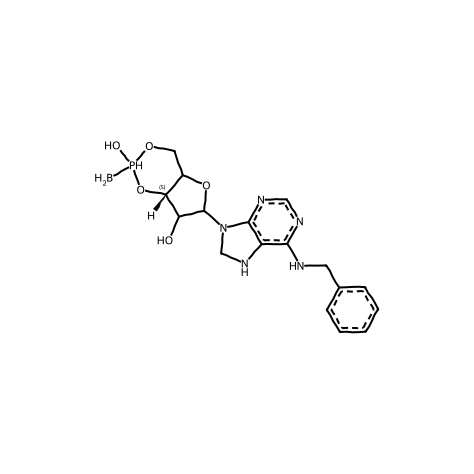 B[PH]1(O)OCC2OC(N3CNc4c(NCc5ccccc5)ncnc43)C(O)[C@@H]2O1